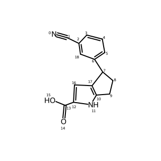 N#Cc1cccc(C2CCc3[nH]c(C(=O)O)cc32)c1